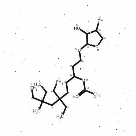 CCC(C)(CC)CC(CC)(CC)CCC(CCOC1OCC(O)C1O)OC(C)=O